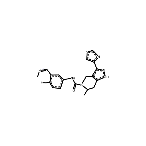 C/N=C\c1cc(NC(=O)N2Cc3c(-c4cscn4)n[nH]c3CC2C)ccc1F